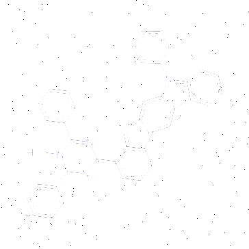 CN1C(c2ccccc2)=NC(c2cccc3c2sc2cc4c(cc23)c2ccccc2n4-c2ccccc2)NC1c1ccccc1